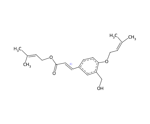 CC(C)=CCOC(=O)/C=C/c1ccc(OCC=C(C)C)c(CO)c1